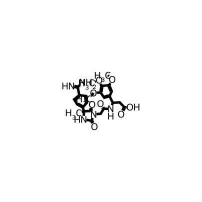 COc1cc(C(CC(=O)O)NC(=O)CN2C(=O)NC(C)(c3ccc(C(=N)N)cc3)C2=O)cc(OC)c1OC